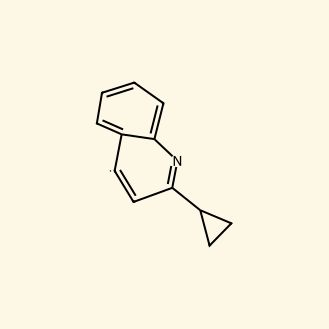 [c]1cc(C2CC2)nc2ccccc12